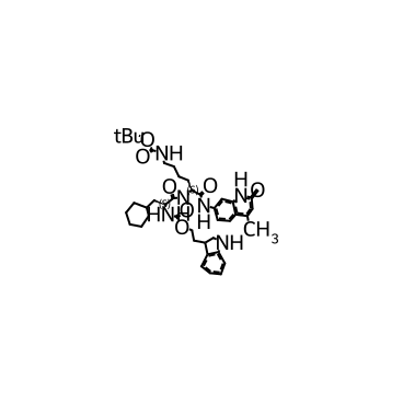 Cc1cc(=O)[nH]c2cc(NC(=O)[C@H](CCCCNC(=O)OC(C)(C)C)NC(=O)[C@H](CC3CCCCC3)NC(=O)OCCC3CNc4ccccc43)ccc12